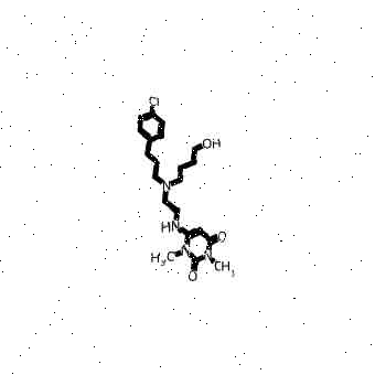 Cn1c(NCCN(CCCCO)CCCc2ccc(Cl)cc2)cc(=O)n(C)c1=O